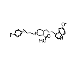 COc1ccc2nccc(CCC[C@@H]3CCN(CCCSc4ccc(F)cc4)C[C@@H]3C(=O)O)c2c1